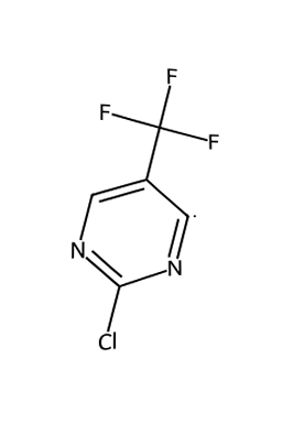 FC(F)(F)c1[c]nc(Cl)nc1